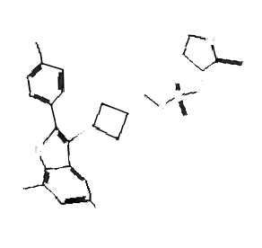 O=C1NCC[C@H]1NS(=O)(=O)NC[C@H]1C[C@H](c2c(-c3ccc(F)cc3)[nH]c3c(F)cc(F)cc32)C1